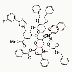 COC(=O)C1CC(n2cc(-c3cccc(F)c3)nn2)C(O[C@@H]2OC(C)[C@@H](OCc3ccccc3)C(OCc3ccccc3)C2OCc2ccccc2)[C@H](O[C@@H]2OC(COC(=O)c3ccccc3)[C@H](OC(=O)c3ccccc3)C(O[C@@H](CC3CCCCC3)C(=O)OCc3ccccc3)C2OC(=O)c2ccccc2)C1